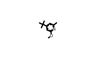 COc1cc(C(C)(C)C)cc(C)n1